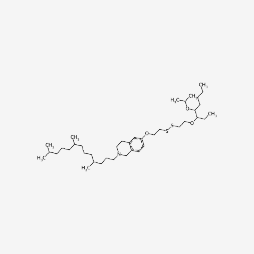 CCCCC(OC(C)C)C(CC)OCCSSCCOc1ccc2c(c1)CCN(CCCC(C)CCCC(C)CCCC(C)C)C2